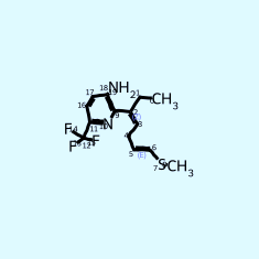 CC/C(=C/C/C=C/SC)c1nc(C(F)(F)F)ccc1N